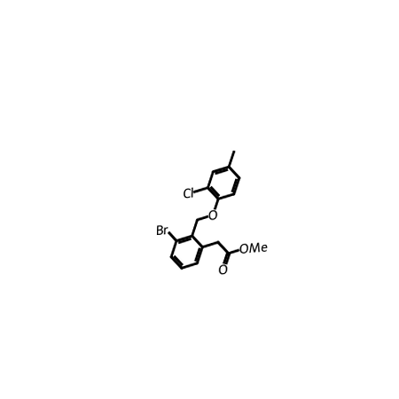 COC(=O)Cc1cccc(Br)c1COc1ccc(C)cc1Cl